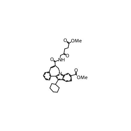 COC(=O)CCC(=O)CNC(=O)C1=Cc2ccccc2-c2c(C3CCCCC3)c3ccc(C(=O)OC)cc3n2C1